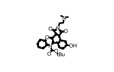 CN(C)CCn1c(=O)c2c3cc(O)ccc3c3c(oc4ccccc4n3C(=O)OC(C)(C)C)c2c1=O